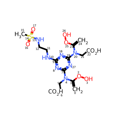 C=C(OO)N(CC(=O)O)c1nc(NCCNS(C)(=O)=O)nc(N(CC(=O)O)C(=C)OO)n1